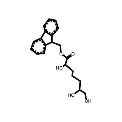 O=C(OCC1c2ccccc2-c2ccccc21)C(O)CCCC(O)CO